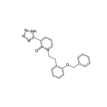 O=c1c(-c2nnn[nH]2)cccn1CCc1ccccc1OCc1ccccc1